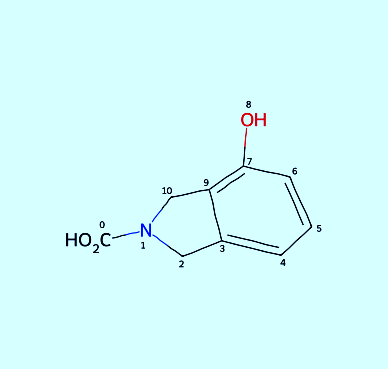 O=C(O)N1Cc2cccc(O)c2C1